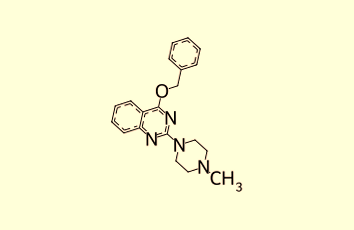 CN1CCN(c2nc(OCc3ccccc3)c3ccccc3n2)CC1